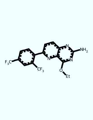 CCOc1nc(N)nc2ccc(-c3ccc(C(F)(F)F)cc3C(F)(F)F)nc12